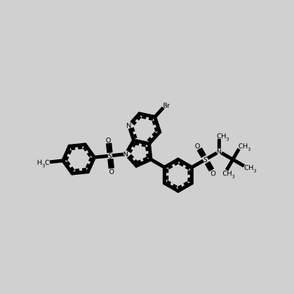 Cc1ccc(S(=O)(=O)n2cc(-c3cccc(S(=O)(=O)N(C)C(C)(C)C)c3)c3cc(Br)cnc32)cc1